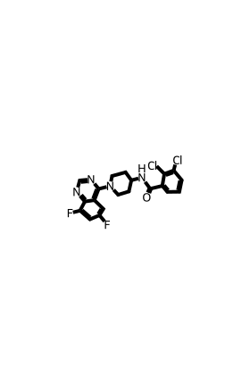 O=C(NC1CCN(c2ncnc3c(F)cc(F)cc23)CC1)c1cccc(Cl)c1Cl